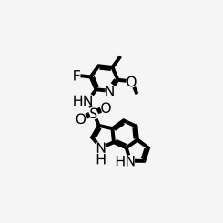 COc1nc(NS(=O)(=O)c2c[nH]c3c2ccc2cc[nH]c23)c(F)cc1C